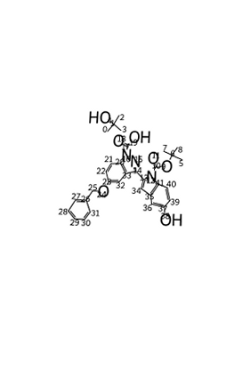 CC(C)(C)O.CC(C)(C)OC(=O)n1c(-c2nn(C(=O)O)c3ccc(OCc4ccccc4)cc23)cc2cc(O)ccc21